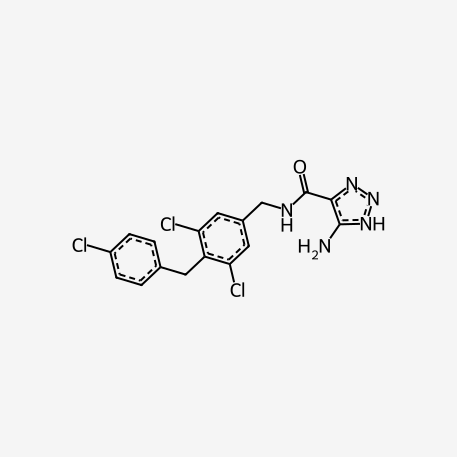 Nc1[nH]nnc1C(=O)NCc1cc(Cl)c(Cc2ccc(Cl)cc2)c(Cl)c1